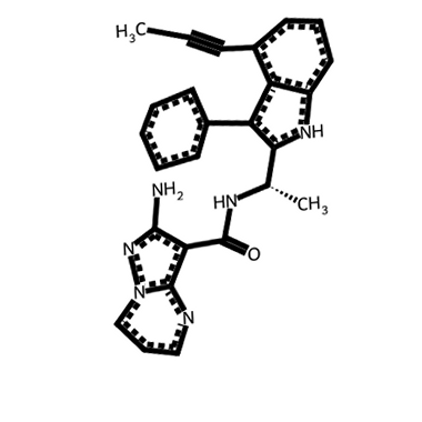 CC#Cc1cccc2[nH]c([C@H](C)NC(=O)c3c(N)nn4cccnc34)c(-c3ccccc3)c12